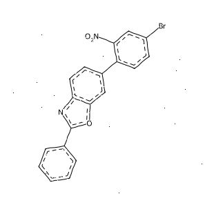 O=[N+]([O-])c1cc(Br)ccc1-c1ccc2nc(-c3ccccc3)oc2c1